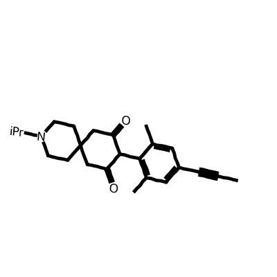 CC#Cc1cc(C)c(C2C(=O)CC3(CCN(C(C)C)CC3)CC2=O)c(C)c1